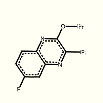 CC(C)Oc1nc2ccc(F)cc2nc1C(C)C